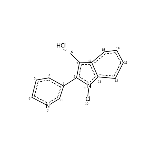 Cc1c(-c2cccnc2)n(Cl)c2ccccc12.Cl